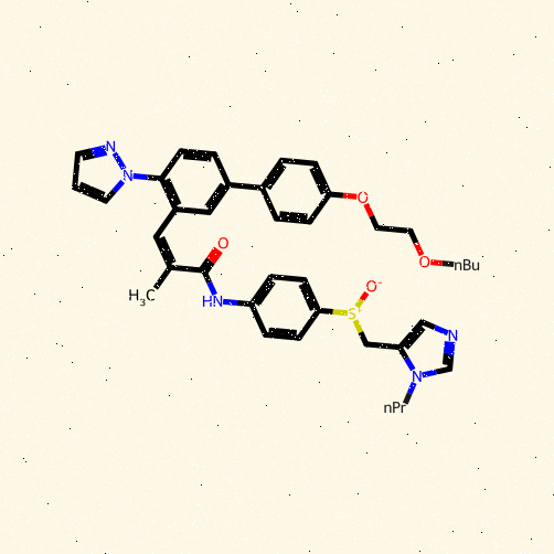 CCCCOCCOc1ccc(-c2ccc(-n3cccn3)c(C=C(C)C(=O)Nc3ccc([S+]([O-])Cc4cncn4CCC)cc3)c2)cc1